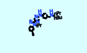 C#Cc1cccc(N(/C(N=C)=C(/C=N\CNC(/C=C\C(C)CNC(CCC)CCCC)=C/C)N=C)C(C)C)c1